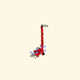 COCCOCCOCCOCCOCCOCCOCCOCCOCCOCC(=O)NCCCC[C@H](NC(=O)OCc1ccccc1)C(=O)N[C@H](C(=O)N[C@@H](CCCNC(N)=O)C(=O)Nc1cc(C[C@@H](C[C@H](C)C(=O)O)NC(=O)OC(C)(C)C)ccc1O)C(C)C